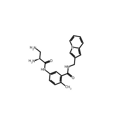 Cc1ccc(NC(=O)[C@@H](N)CN)cc1C(=O)NCc1cc2ccccn2c1